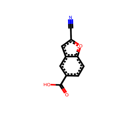 N#Cc1cc2cc(C(=O)O)ccc2o1